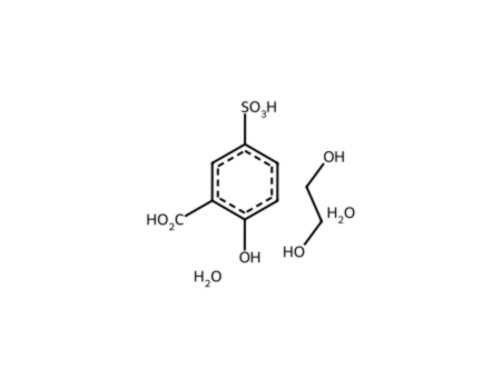 O.O.O=C(O)c1cc(S(=O)(=O)O)ccc1O.OCCO